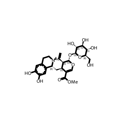 C=C[C@H]1[C@H](O[C@@H]2O[C@H](CO)[C@@H](O)[C@H](O)[C@H]2O)OC=C(C(=O)OC)[C@H]1C[C@@H]1c2cc(O)c(O)cc2CCN1C(C)=O